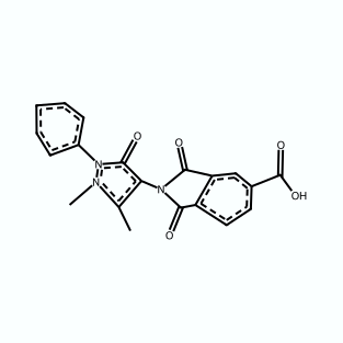 Cc1c(N2C(=O)c3ccc(C(=O)O)cc3C2=O)c(=O)n(-c2ccccc2)n1C